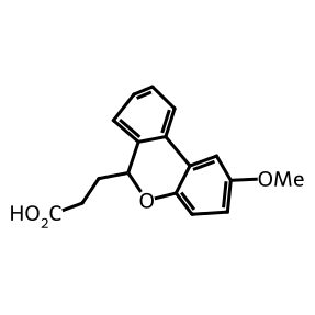 COc1ccc2c(c1)-c1ccccc1C(CCC(=O)O)O2